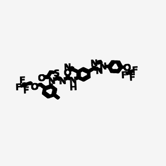 Cc1ccc(COCC(F)(F)F)c(N2C(=O)CSC2=NC(=O)Nc2ccc(-c3ncn(-c4ccc(OC(F)(F)F)cc4)n3)cc2C#N)c1